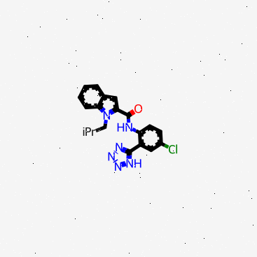 CC(C)Cn1c(C(=O)Nc2ccc(Cl)cc2-c2nnn[nH]2)cc2ccccc21